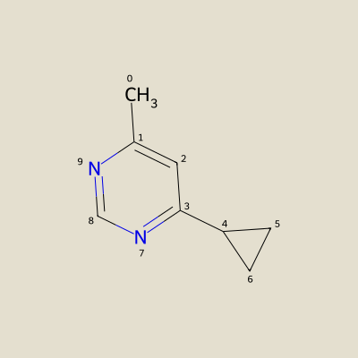 Cc1cc(C2CC2)ncn1